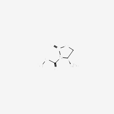 CCCC[C@@H]1COS(=O)N1C(=O)OC(C)(C)C